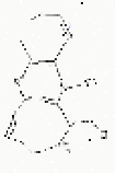 C/C=C\C1=C(C)SC2=C(C(CCl)[C@H](C)CC=C2)N1CC